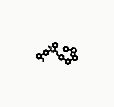 C=N/C(=N\C(=N/Cc1ccc(-c2cccc(-c3cccc4c3CC3=C4CCC=C3c3ccccc3)c2)cc1)c1ccccc1)c1ccc(-c2ccccc2CC)cc1